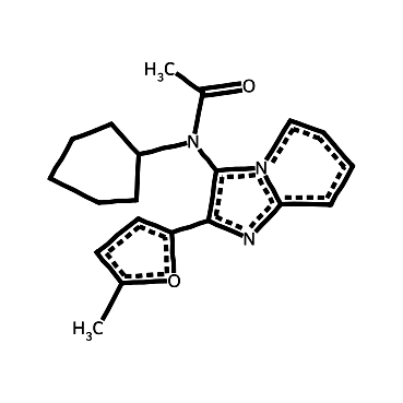 CC(=O)N(c1c(-c2ccc(C)o2)nc2ccccn12)C1CCCCC1